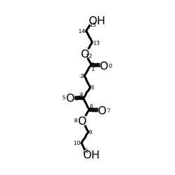 O=C(CCC(=O)C(=O)OCCO)OCCO